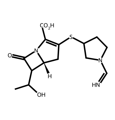 CC(O)C1C(=O)N2C(C(=O)O)=C(SC3CCN(C=N)C3)C[C@H]12